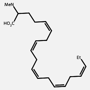 CC/C=C\C/C=C\C/C=C\C/C=C\C/C=C\CCC(NC)C(=O)O